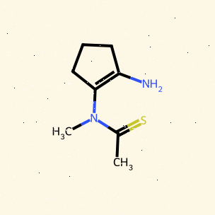 CC(=S)N(C)C1=C(N)CCC1